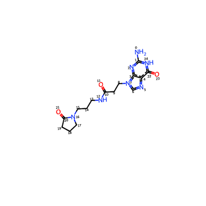 Nc1nc2c(ncn2CCC(=O)NCCCN2CCCC2=O)c(=O)[nH]1